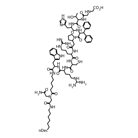 CCCCCCCCCCCCCCCCNC(=O)CN(CC(N)=O)C(=O)CCCCCNC(=O)C(Cc1c[nH]c2ccccc12)NC(=O)C(CCCNC(N)N)NC(=O)C(CS)NC(=O)C(CCCNC(=N)N)NC(=O)CC1CCCN1C(=O)C(NC(=O)C(Cc1c[nH]cn1)NC(=O)C(NC(=O)CNCC(=O)O)C(C)O)C(c1ccccc1)c1ccccc1